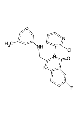 Cc1cccc(NCc2nc3ccc(F)cc3c(=O)n2-c2cccnc2Cl)c1